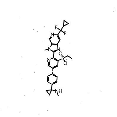 CCS(=O)(=O)c1cc(-c2ccc(C3(NC)CC3)cc2)cnc1-c1nc2cc(C(F)(F)C3CC3)ncc2n1C